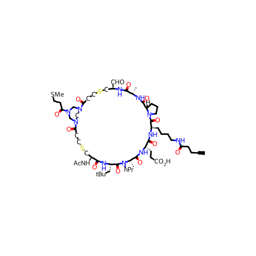 C#CCCC(=O)NCCCC[C@H]1NC(=O)[C@H](CCC(=O)O)NC(=O)[C@H](C)N(CCC)C(=O)[C@H](CC(C)(C)C)NC(=O)[C@@H](NC(C)=O)CSCCC(=O)N2CN(C(=O)CCSC)CN(C2)C(=O)CCSC[C@@H](C=O)NC(=O)[C@H](C)NC(=O)[C@@H]2CCCN2C1=O